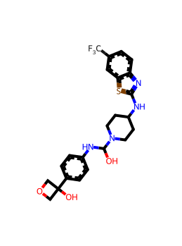 OC(Nc1ccc(C2(O)COC2)cc1)N1CCC(Nc2nc3ccc(C(F)(F)F)cc3s2)CC1